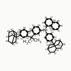 CC1(C)c2cc(N(c3ccc(C45CC6CCC4CCC(C6)C5)cc3)c3cccc4ccccc34)ccc2-c2ccc(C34CC5CC(CC(C5)C3)C4)cc21